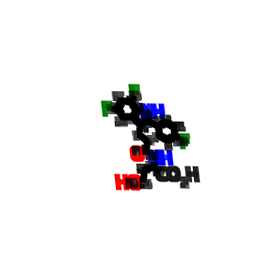 O=C(CCc1c(-c2ccc(F)cc2)[nH]c2c(F)cc(F)cc12)NC(CCO)C(=O)O